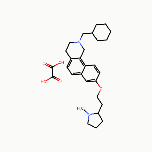 CN1CCCC1CCOc1ccc2c3c(ccc2c1)CCN(CC1CCCCC1)C3.O=C(O)C(=O)O